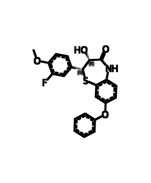 COc1ccc([C@H]2Sc3cc(Oc4ccccc4)ccc3NC(=O)[C@H]2O)cc1F